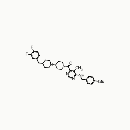 Cc1c(NCc2ccc(C(C)(C)C)cc2)ncnc1C(=O)N1CCC(N2CCC(Cc3ccc(F)c(F)c3)CC2)CC1